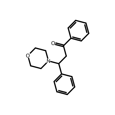 O=C(CC(c1ccccc1)N1CCOCC1)c1ccccc1